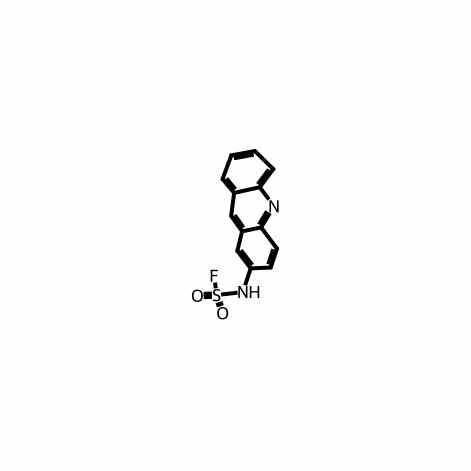 O=S(=O)(F)Nc1ccc2nc3ccccc3cc2c1